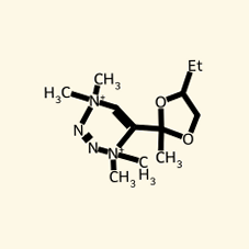 CCC1COC(C)(C2=C[N+](C)(C)N=N[N+]2(C)C)O1